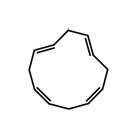 [CH]1/C=C/C/C=C\C/C=C\C/C=C/1